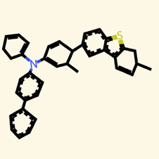 CC1C=Cc2c(sc3ccc(C4C=CC(N(C5=CC=CCC5)c5ccc(-c6ccccc6)cc5)=CC4C)cc23)C1